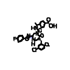 COc1ccc(Cl)cc1C[C@@H]1CN/C(=N\Oc2ccc(F)cc2)CN(C(=O)NC(C)c2ccc(C(=O)O)cc2)C1=O